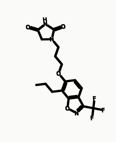 CCCc1c(OCCCN2CC(=O)NC2=O)ccc2c(C(F)(F)F)noc12